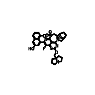 O=S1(=O)CC2C3CCC(CN2c2nc(OCC45CCCN4CCC5)nc4c(F)c(-c5cc(O)cc6cccc(Cl)c56)nc1c24)N3